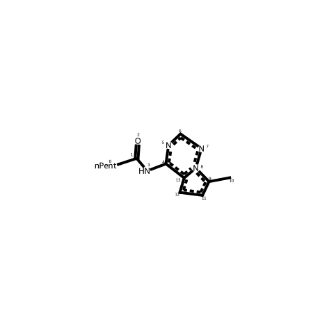 CCCCCC(=O)Nc1ncnn2c(C)ccc12